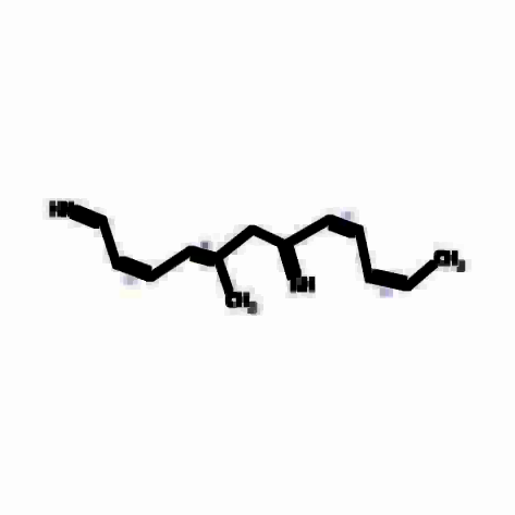 C/C=C\C=C/C(=N)C/C(C)=C/C=C\C=N